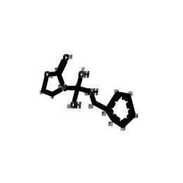 O=C1OCCN1C(O)(O)NCc1ccccc1